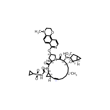 C[C@@H]1CC/C=C\[C@@H]2C[C@@]2(C(=O)NS(=O)(=O)C2CC2)NC(=O)[C@@H]2C[C@@H](Oc3nccc4c5c(ccc34)N(C)CCO5)CN2C(=O)[C@@H](N(C(=O)O)[C@H]2CC3C[C@H]3C2)[C@H](C)C1